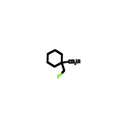 CCOC(=O)C1(CF)CCCCC1